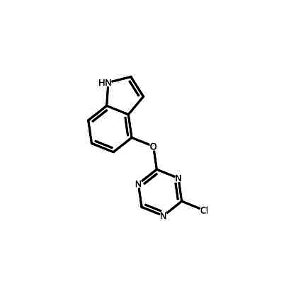 Clc1ncnc(Oc2cccc3[nH]ccc23)n1